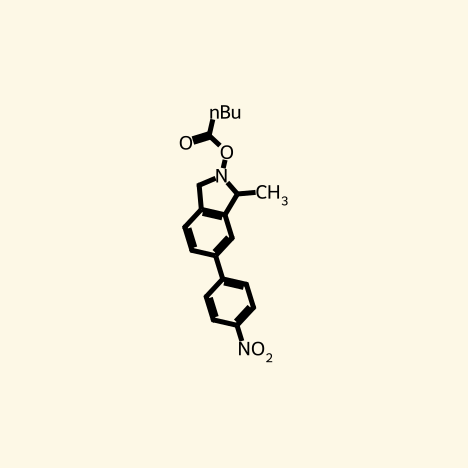 CCCCC(=O)ON1Cc2ccc(-c3ccc([N+](=O)[O-])cc3)cc2C1C